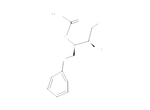 COC(=O)N[C@H](CSc1ccccc1)[C@H](O)CCl